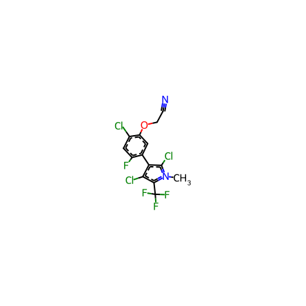 Cn1c(Cl)c(-c2cc(OCC#N)c(Cl)cc2F)c(Cl)c1C(F)(F)F